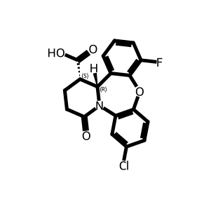 O=C(O)[C@H]1CCC(=O)N2c3cc(Cl)ccc3Oc3c(F)cccc3[C@@H]12